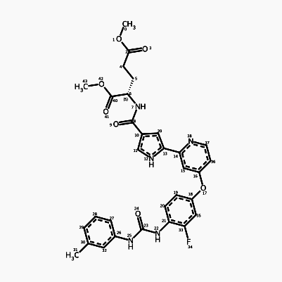 COC(=O)CC[C@H](NC(=O)c1c[nH]c(-c2cc(Oc3ccc(NC(=O)Nc4cccc(C)c4)c(F)c3)ccn2)c1)C(=O)OC